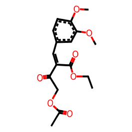 CCOC(=O)/C(=C\c1ccc(OC)c(OC)c1)C(=O)COC(C)=O